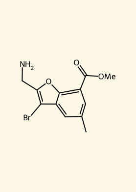 COC(=O)c1cc(C)cc2c(Br)c(CN)oc12